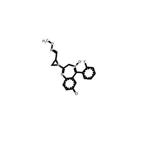 CO/N=C/C1CN1C1=Nc2ccc(Cl)cc2C(c2ccccc2F)=[N+]([O-])C1